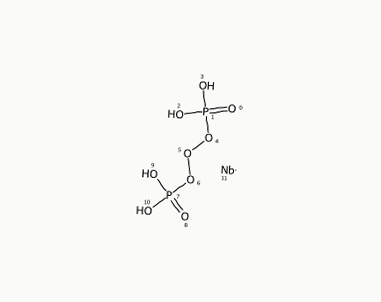 O=P(O)(O)OOOP(=O)(O)O.[Nb]